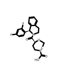 O=C(O)N1CCO[C@H](C(=O)N2CCc3ccccc3[C@@H]2c2ccc(F)cc2F)CC1